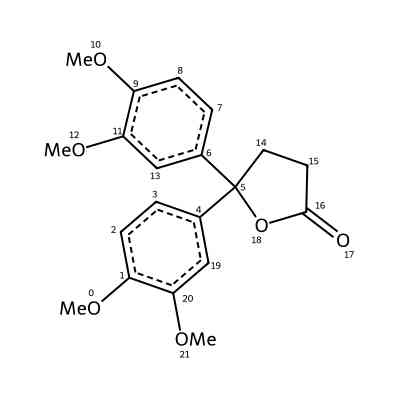 COc1ccc(C2(c3ccc(OC)c(OC)c3)CCC(=O)O2)cc1OC